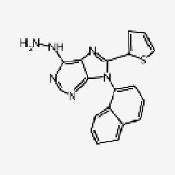 NNc1ncnc2c1nc(-c1cccs1)n2-c1cccc2ccccc12